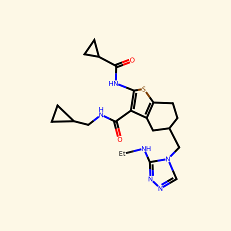 CCNc1nncn1CC1CCc2sc(NC(=O)C3CC3)c(C(=O)NCC3CC3)c2C1